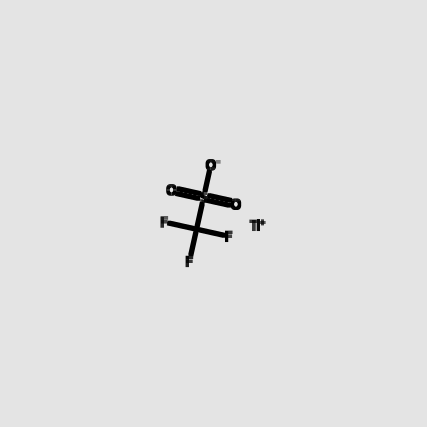 O=S(=O)([O-])C(F)(F)F.[Tl+]